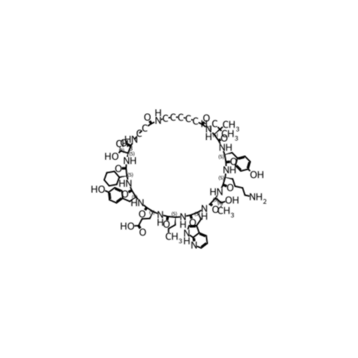 CCC[C@@H]1NC(=O)[C@H](Cc2c[nH]c3ncccc23)NC(=O)[C@H]([C@@H](C)O)NC(=O)[C@H](CCCCN)NC(=O)[C@H](Cc2ccc(O)cc2)NC(=O)[C@H](C(C)(C)C)NC(=O)CCCCCNC(=O)CCNC(=O)[C@H]([C@@H](C)O)NC(=O)[C@H](C2CCCCC2)NC(=O)[C@H](Cc2ccc(O)cc2)NC(=O)[C@H](CCC(=O)O)NC1=O